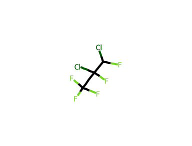 FC(Cl)C(F)(Cl)C(F)(F)F